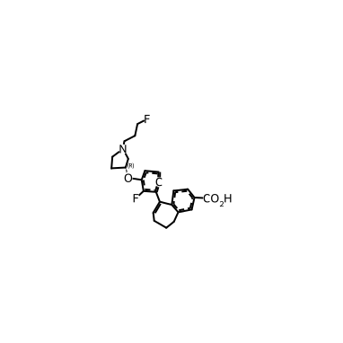 O=C(O)c1ccc2c(c1)CCCC=C2c1cccc(O[C@@H]2CCN(CCCF)C2)c1F